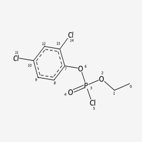 CCOP(=O)(Cl)Oc1ccc(Cl)cc1Cl